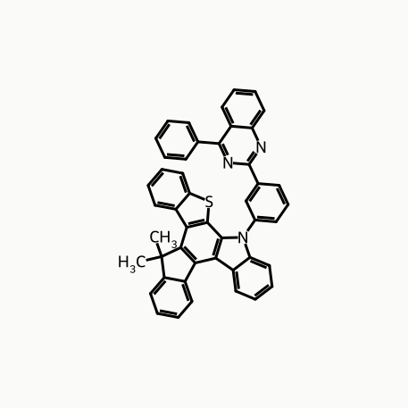 CC1(C)c2ccccc2-c2c1c1c3ccccc3sc1c1c2c2ccccc2n1-c1cccc(-c2nc(-c3ccccc3)c3ccccc3n2)c1